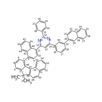 CC1(C)c2cccc(-c3ccc(-c4cc(-c5cccc(-c6ccc7ccccc7c6)c5)nc(-c5ccccc5)n4)c4ccccc34)c2-c2c1ccc1ccccc21